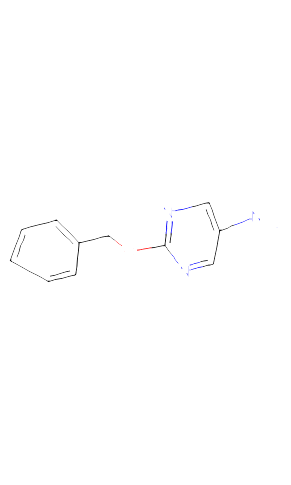 Nc1cnc(OCc2ccccc2)nc1